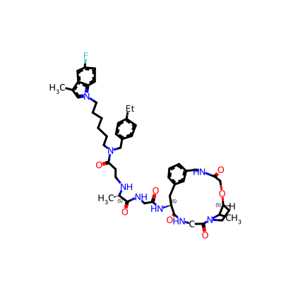 CCc1ccc(CN(CCCCCCn2cc(C)c3cc(F)ccc32)C(=O)CCN[C@@H](C)C(=O)NCC(=O)N[C@H]2Cc3cccc(c3)CNC(=O)CO[C@H]3CCN(C(=O)CNC2=O)C3C)cc1